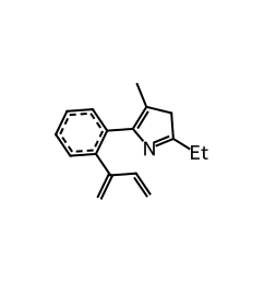 C=CC(=C)c1ccccc1C1=C(C)CC(CC)=N1